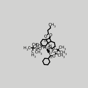 CCCCO[C@@]12CC[C@H](O[Si](C)(C)C(C)(C)C)[C@@H](C#C[C@@H](O[Si](C)(C)C(C)(C)C)C3CCCCC3)[C@@H]1C(CCCC)C2=O